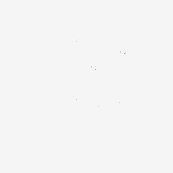 OCCN(CCO)CCN(Cc1ccccc1)Cc1ccccc1